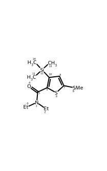 CCN(CC)C(=O)c1sc(SC)cc1[Si](C)(C)C